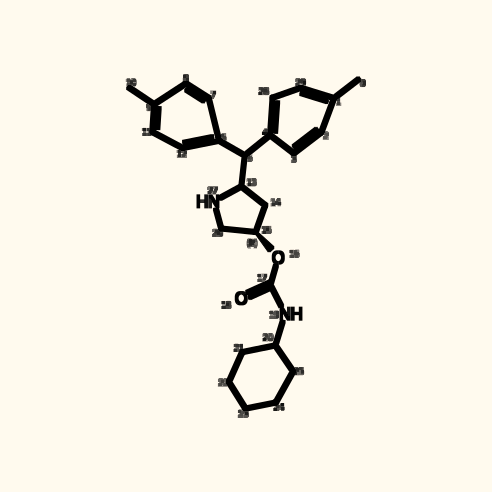 Cc1ccc(C(c2ccc(C)cc2)C2C[C@@H](OC(=O)NC3CCCCC3)CN2)cc1